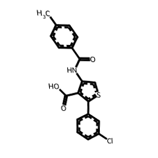 Cc1ccc(C(=O)Nc2csc(-c3cccc(Cl)c3)c2C(=O)O)cc1